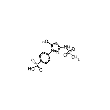 CS(=O)(=O)Nc1cc(O)n(-c2ccc(S(=O)(=O)O)cc2)n1